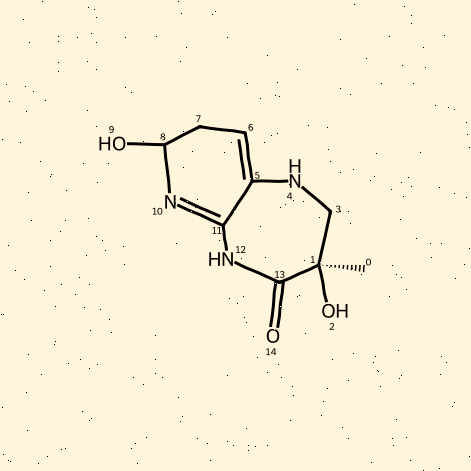 C[C@@]1(O)CNC2=CCC(O)N=C2NC1=O